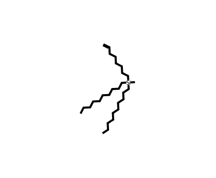 C=CCCCCCC[Si](C)(CCCCCCCCCC)CCCCCCCCCC